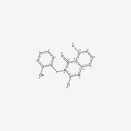 N#Cc1ccccc1Cn1c(Cl)nc2cccc(F)c2c1=O